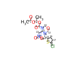 CC(=O)OC(C)OC(=O)N1COCN(Cc2ccc(Cl)s2)/C1=C\[N+](=O)[O-]